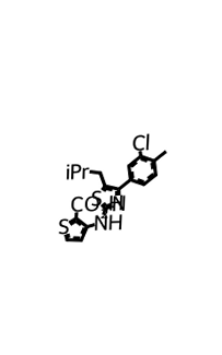 Cc1ccc(-c2nc(Nc3ccsc3C(=O)O)sc2CC(C)C)cc1Cl